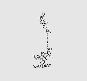 COc1cc2nc(C)nc(N[C@H](C)c3cc(-c4ccccc4CNCCCCCCCCCNc4ccc5c(c4)C(=O)N(C4CCC(=O)NC4=O)C5=O)cs3)c2cc1OC